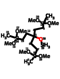 CO[Si](C)(CCC(CC[Si](C)(OC)OC)(CC[Si](C)(OC)OC)O[SiH3])OC